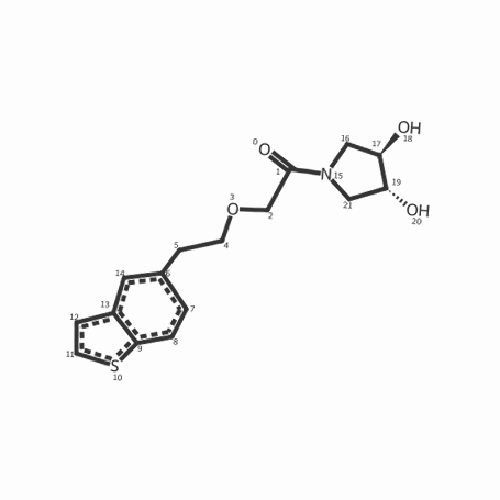 O=C(COCCc1ccc2sccc2c1)N1C[C@@H](O)[C@H](O)C1